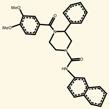 COc1ccc(C(=O)N2CCN(C(=O)Nc3ccc4ccccc4c3)CC2c2ccccc2)cc1OC